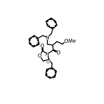 COCCC(CN(Cc1ccccc1)Cc1ccccc1)C(=O)N1C(=O)OC[C@@H]1Cc1ccccc1